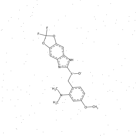 COc1ccc(C[S+]([O-])c2nc3cc4c(cc3[nH]2)OC(F)(F)O4)c(N(C)C)c1